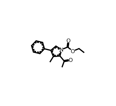 CCOC(=O)n1cc(-c2ccccc2)c(C)c1C(C)=O